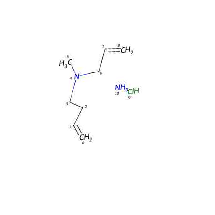 C=CCCN(C)CC=C.Cl.N